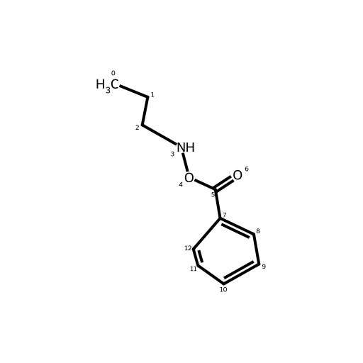 CCCNOC(=O)c1ccccc1